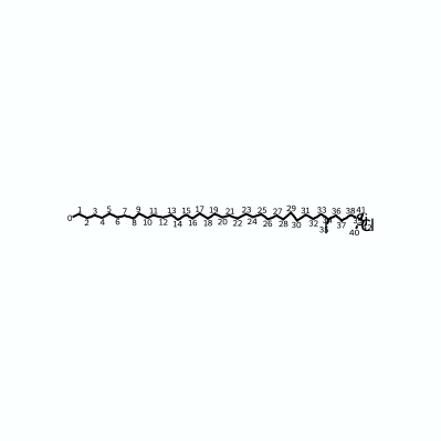 CCCCCCCCCCCCCCCCCCCCCCCCCCCCCCCCCCC(I)CCC[Si](C)(C)Cl